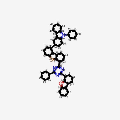 c1ccc(-c2nc(-c3cccc4c3oc3ccccc34)nc(-c3cccc4c3sc3cccc(-c5ccc6c(c5)c5ccccc5n6-c5ccccc5)c34)n2)cc1